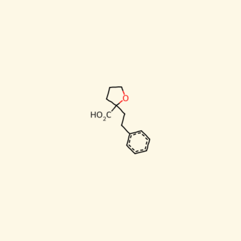 O=C(O)C1(CCc2ccccc2)CCCO1